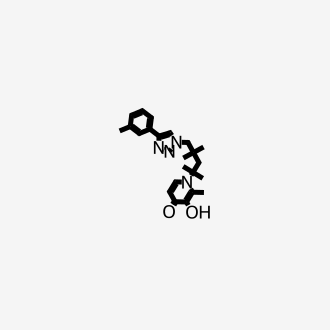 Cc1cccc(-c2cn(CC(C)(C)CC(C)(C)n3ccc(=O)c(O)c3C)nn2)c1